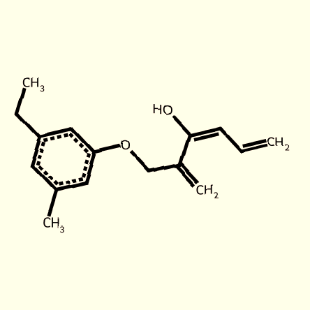 C=C/C=C(/O)C(=C)COc1cc(C)cc(CC)c1